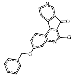 O=C1c2cnccc2-c2c1c(Cl)nc1cc(OCc3ccccc3)ccc21